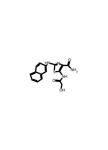 NC(=O)c1nc(Nc2ccc3ccccc3c2)sc1NC(=O)CO